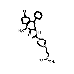 CN(C)CCCN1CCN(C(=S)NC2N=C(c3ccccc3)c3cc(Cl)ccc3N(C)C2=O)CC1